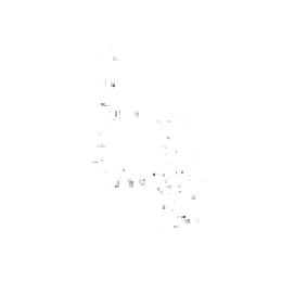 CO[C@]1(C)C[C@@H](C)CN(C)CCCN(C(=O)CNCC2CC2)CCOC(=O)C(C)C(=O)[C@H](C)[C@H]1O[C@@H]1O[C@H](C)C[C@H](N(C)C)[C@H]1O